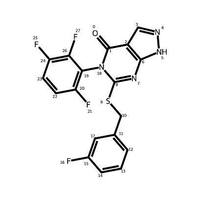 O=c1c2cn[nH]c2nc(SCc2cccc(F)c2)n1-c1c(F)ccc(F)c1F